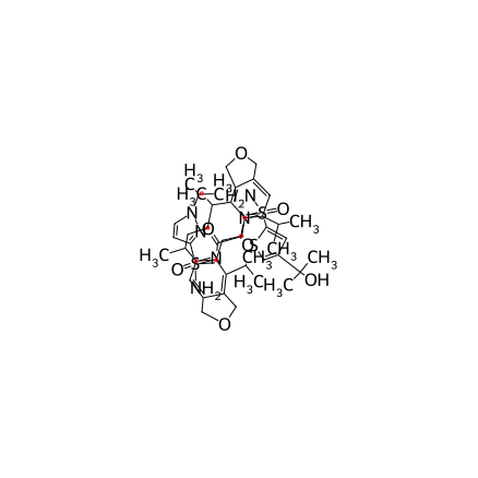 CC(C)c1cc2c(c(C(C)CCC(C)c3cc4c(c(C(C)C)c3CC(=O)N=S(N)(=O)c3cc(C(C)(C)O)cs3)COC4)c1CC(=O)N=S(N)(=O)c1ccn(C(C)C)n1)COC2